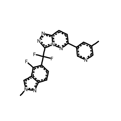 Cc1cncc(-c2ccc3nnc(C(F)(F)c4ccc5nn(C)cc5c4F)n3n2)c1